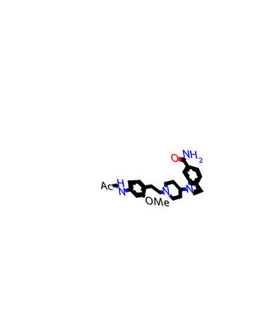 COc1cc(NCC(C)=O)ccc1CCN1CCC(n2ccc3ccc(C(N)=O)cc32)CC1